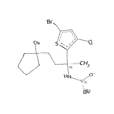 CC(C)(C)[S@@+]([O-])N[C@@](C)(CCC1(C#N)CCCC1)c1sc(Br)cc1Cl